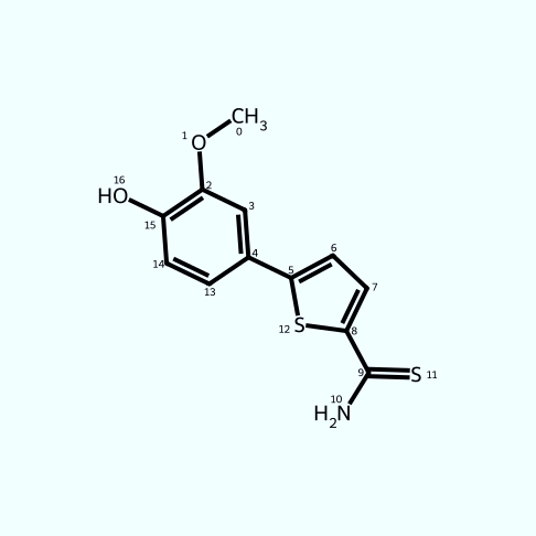 COc1cc(-c2ccc(C(N)=S)s2)ccc1O